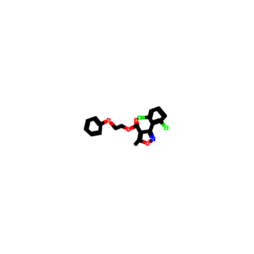 Cc1onc(-c2c(Cl)cccc2Cl)c1C(=O)OCCOc1ccccc1